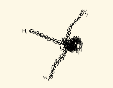 COCCOCCOCCOCCOCCOCCOCCOCCOCCOCCOCCC[SiH](C)O[Si](C)(CCCOCCOCCOCCOCCOCCOCCOCCOCCOCCOCCOC)O[Si](C)(CCCOCCOCCOCCOCCOCCOCCOCCOCCOCCOCCOC)OO[Si](C)(C)O[Si](C)(C)O[Si](C)(C)O[Si](C)(C)O[Si](C)(C)O[Si](C)(C)C